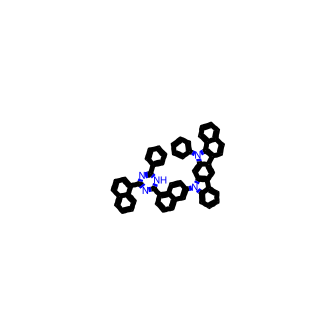 c1ccc(C2=NC(c3cccc4ccccc34)=NC(c3cccc4cc(-n5c6ccccc6c6cc7c8ccc9ccccc9c8n(-c8ccccc8)c7cc65)ccc34)N2)cc1